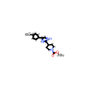 CCCCOC(=O)N1CCC(c2nc(-c3ccc(C(C)(C)C)cc3)c[nH]2)CC1